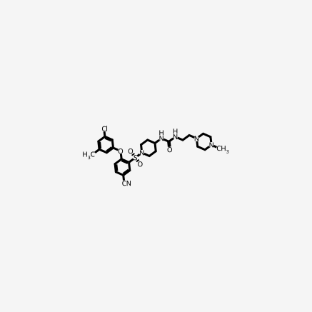 Cc1cc(Cl)cc(Oc2ccc(C#N)cc2S(=O)(=O)N2CCC(NC(=O)NCCN3CCN(C)CC3)CC2)c1